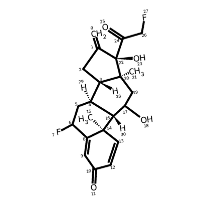 C=C1C[C@H]2[C@@H]3CC(F)C4=CC(=O)C=C[C@]4(C)[C@H]3C(O)C[C@]2(C)[C@@]1(O)C(=O)CF